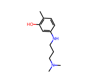 Cc1ccc(NCCCN(C)C)cc1O